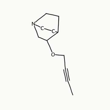 CC#CCOC1CN2CCC1CC2